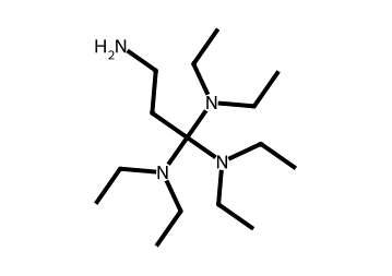 CCN(CC)C(CCN)(N(CC)CC)N(CC)CC